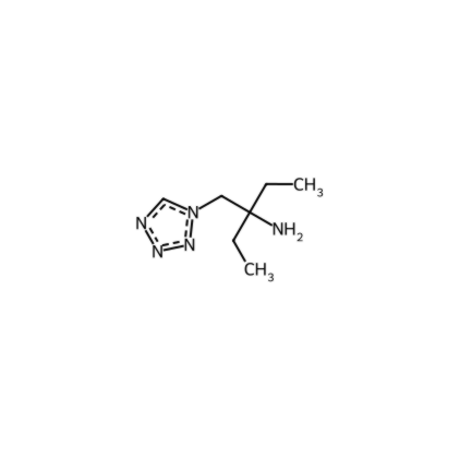 CCC(N)(CC)Cn1cnnn1